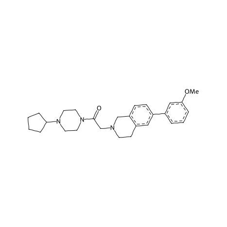 COc1cccc(-c2ccc3c(c2)CCN(CC(=O)N2CCN(C4CCCC4)CC2)C3)c1